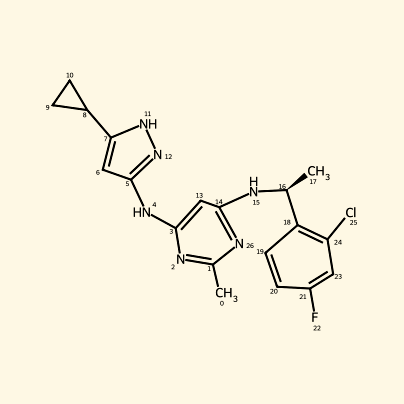 Cc1nc(Nc2cc(C3CC3)[nH]n2)cc(N[C@@H](C)c2ccc(F)cc2Cl)n1